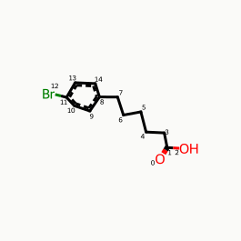 O=C(O)CCCCCc1ccc(Br)cc1